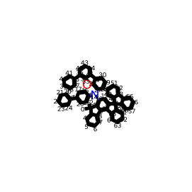 CC1(C)c2ccccc2-c2c3c(cc(N(c4ccc(-c5ccccc5)cc4)c4cccc5c4oc4c(-c6ccccc6)cccc45)c21)C1(c2ccccc2-c2ccccc21)c1ccccc1-3